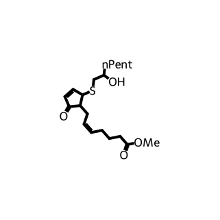 CCCCCC(O)CSC1C=CC(=O)C1C/C=C\CCCC(=O)OC